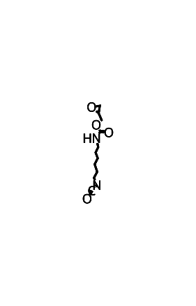 O=C=NCCCCCCNC(=O)OCC1CO1